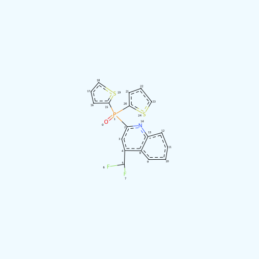 O=P(c1cc(C(F)F)c2ccccc2n1)(c1cccs1)c1cccs1